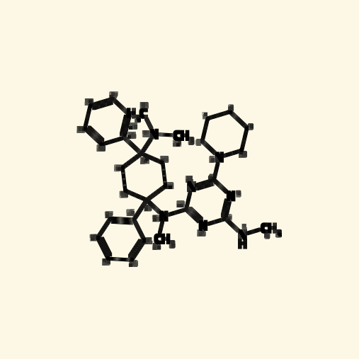 CNc1nc(N2CCCCC2)nc(N(C)C2(c3ccccc3)CCC(c3ccccc3)(N(C)C)CC2)n1